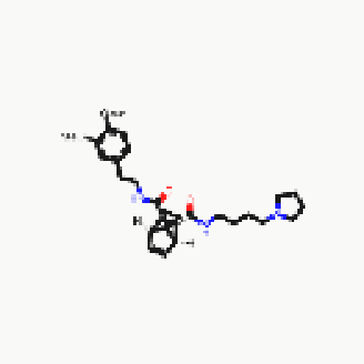 COc1ccc(CCNC(=O)[C@H]2[C@H](C(=O)NCCCCN3CCCC3)[C@H]3C=C[C@@H]2C32CC2)cc1OC